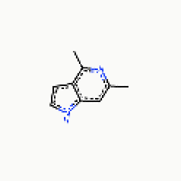 Cc1cc2[nH]ccc2c(C)n1